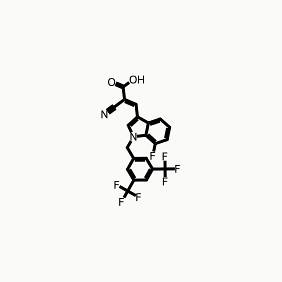 N#C/C(=C\c1cn(Cc2cc(C(F)(F)F)cc(C(F)(F)F)c2)c2c(F)cccc12)C(=O)O